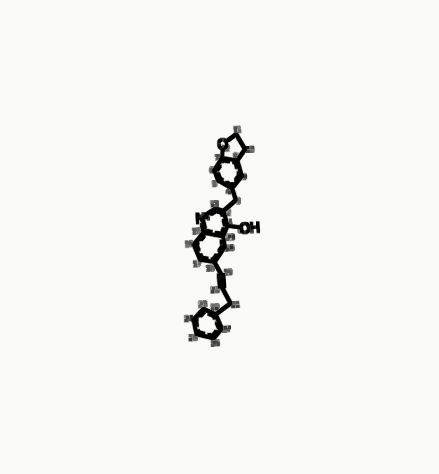 Oc1c(Cc2ccc3c(c2)CCO3)cnc2ccc(C#CCc3ccccc3)cc12